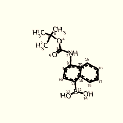 CC(C)(C)OC(=O)Nc1ccc(B(O)O)c2ccccc12